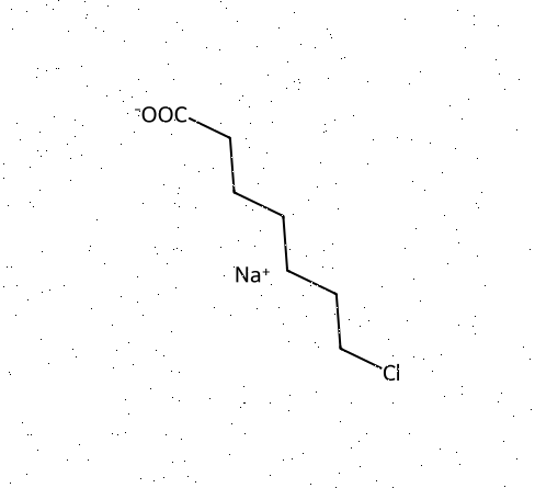 O=C([O-])CCCCCCCl.[Na+]